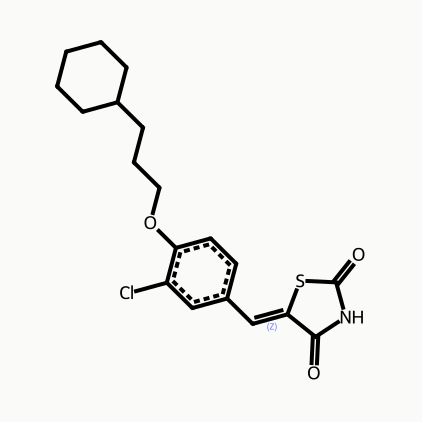 O=C1NC(=O)/C(=C/c2ccc(OCCCC3CCCCC3)c(Cl)c2)S1